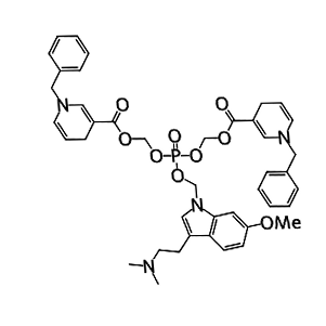 COc1ccc2c(CCN(C)C)cn(COP(=O)(OCOC(=O)C3=CN(Cc4ccccc4)C=CC3)OCOC(=O)C3=CN(Cc4ccccc4)C=CC3)c2c1